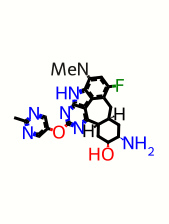 CNc1cc(F)c2c3c1[nH]c1nc(Oc4cnc(C)nc4)nc(c13)[C@H]1C[C@H](O)[C@@H](N)C[C@@H]1C2